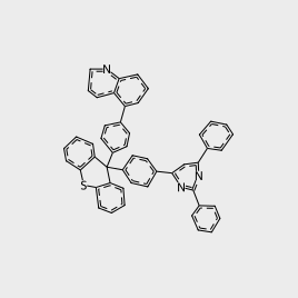 c1ccc(-c2cc(-c3ccc(C4(c5ccc(-c6cccc7ncccc67)cc5)c5ccccc5Sc5ccccc54)cc3)nc(-c3ccccc3)n2)cc1